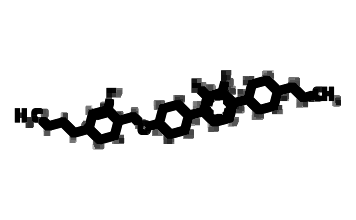 CCCCC1C=C(F)C(COC2CCC(c3ccc(C4CCC(CCC)CC4)c(F)c3F)CC2)CC1